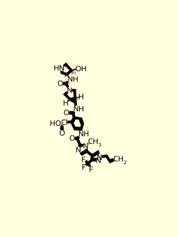 C=CCn1cc(-c2cnc(C(=O)Nc3ccc(C(=O)NC4[C@H]5CN(C(=O)N[C@@H]6CNC[C@H]6O)C[C@@H]45)c(Cl)c3)n2C)c(C(F)(F)F)n1.O=CO